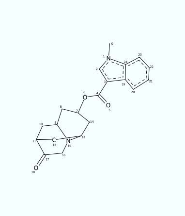 Cn1cc(C(=O)OC2CC3CC4CC(C2)N3CC4=O)c2ccccc21